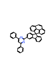 c1ccc(-c2cc(-c3ccccc3)nc(-c3ccc4c(c3)-c3ccccc3C43c4cccc5ccc6cccc3c6c45)n2)cc1